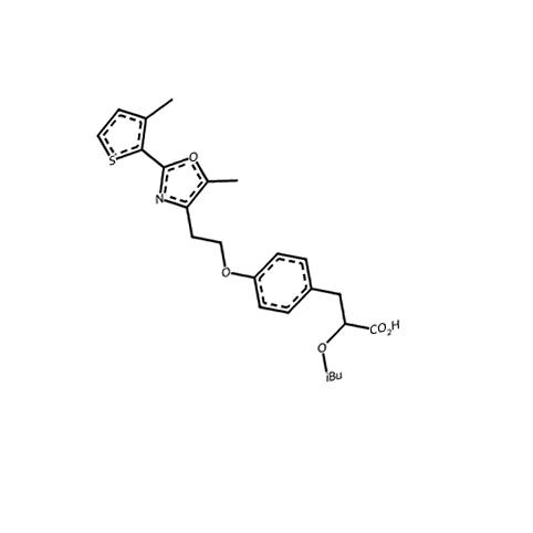 CCC(C)OC(Cc1ccc(OCCc2nc(-c3sccc3C)oc2C)cc1)C(=O)O